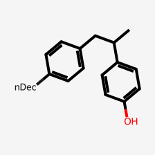 CCCCCCCCCCc1ccc(CC(C)c2ccc(O)cc2)cc1